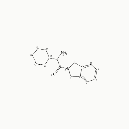 NC(C(=O)N1Cc2ccccc2C1)C1CCCCC1